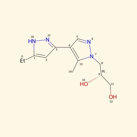 CCc1cc(-c2[c]nn(C[C@@H](O)CO)c2C)n[nH]1